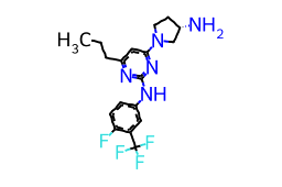 CCCc1cc(N2CC[C@H](N)C2)nc(Nc2ccc(F)c(C(F)(F)F)c2)n1